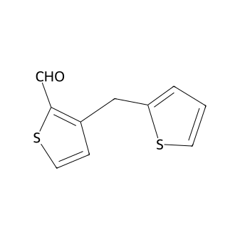 O=Cc1sccc1Cc1cccs1